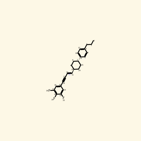 CCCc1ccc([C@H]2CC[C@H](/C=C/C#Cc3cc(F)c(F)c(F)c3)CC2)cc1